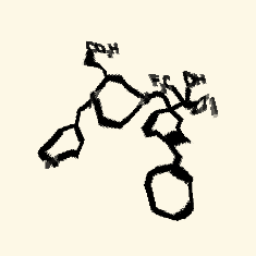 O=C(O)C[C@H]1CN(CC2(C(O)(C(F)(F)F)C(F)(F)F)C=CC(c3ccccc3)=CC2)CCN1Cc1ccncc1